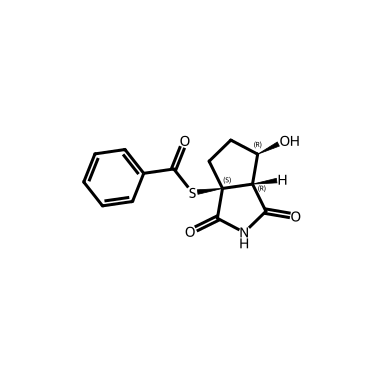 O=C(S[C@@]12CC[C@@H](O)[C@@H]1C(=O)NC2=O)c1ccccc1